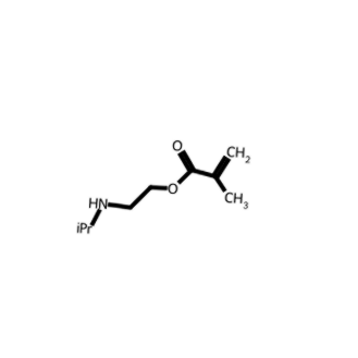 C=C(C)C(=O)OCCNC(C)C